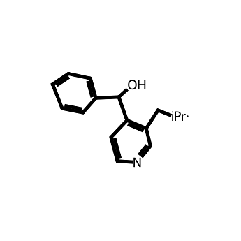 C[C](C)Cc1cnccc1C(O)c1ccccc1